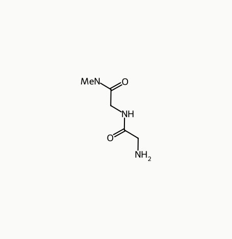 [CH2]NC(=O)CNC(=O)CN